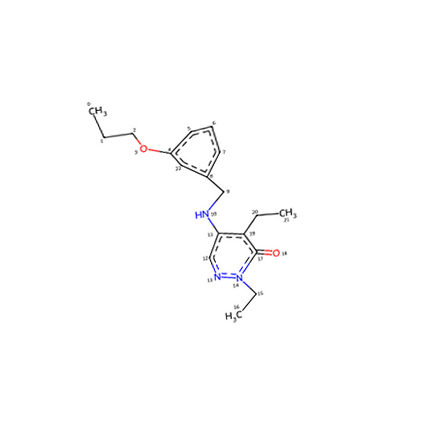 CCCOc1cccc(CNc2cnn(CC)c(=O)c2CC)c1